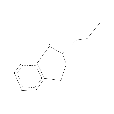 CCCC1[CH]c2ccccc2CC1